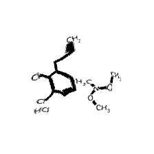 C=CCc1cccc(Cl)c1Cl.CON(C)OC.Cl